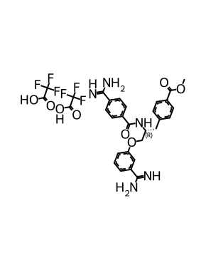 COC(=O)c1ccc(C[C@H](COc2cccc(C(=N)N)c2)NC(=O)c2ccc(C(=N)N)cc2)cc1.O=C(O)C(F)(F)F.O=C(O)C(F)(F)F